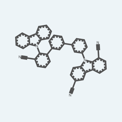 N#Cc1ccc2c(c1)c1cccc(C#N)c1n2-c1cccc(-c2cccc(-c3cccc(C#N)c3-n3c4ccccc4c4ccccc43)c2)c1